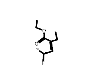 CCOC(=O)/C(=C\C(F)F)CC